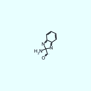 NC1([C]=O)N=c2ccccc2=N1